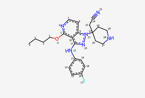 CCCCOc1nccc2c1c(Nc1ccc(F)cc1)nn2C1(CC#N)CCNCC1